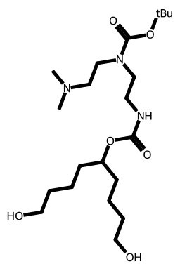 CN(C)CCN(CCNC(=O)OC(CCCCO)CCCCO)C(=O)OC(C)(C)C